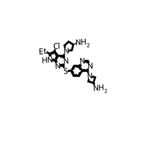 CCc1[nH]c2nc(Sc3ccc4c(N5CC(N)C5)ncnc4c3)nc(N3CC[C@@H](N)C3)c2c1Cl